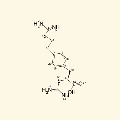 N=C(N)SCCc1ccc(C[C@H](SC(=N)N)C(=O)O)cc1